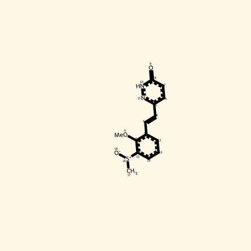 COc1c(C=Cc2ccc(=O)[nH]n2)cccc1[S+](C)[O-]